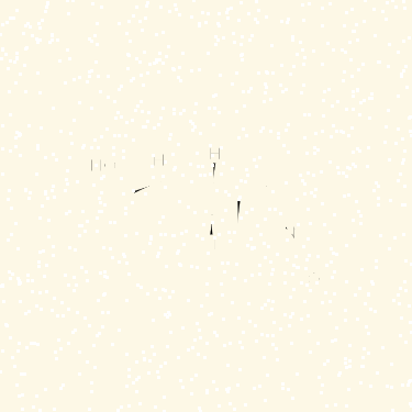 CC(C)C=C1C[C@@H]2[C@@H](CC[C@]3(C)C(O)CC[C@@H]23)[C@@]2(C)C=CC(=O)N(C)C12